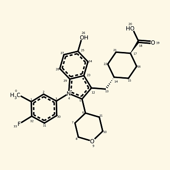 Cc1cc(-n2c(C3CCOCC3)c(C[C@H]3CC[C@H](C(=O)O)CC3)c3cc(O)ccc32)ccc1F